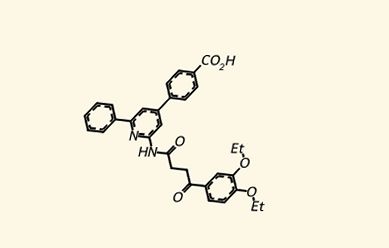 CCOc1ccc(C(=O)CCC(=O)Nc2cc(-c3ccc(C(=O)O)cc3)cc(-c3ccccc3)n2)cc1OCC